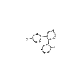 Fc1ccccc1-c1n[c]ncc1-c1ccc(Cl)cn1